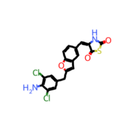 Nc1c(Cl)cc(Cc2cc3cc(C=C4NC(=O)SC4=O)ccc3o2)cc1Cl